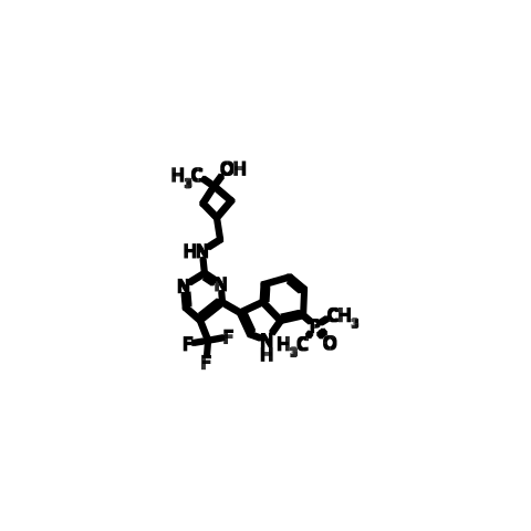 CC1(O)CC(CNc2ncc(C(F)(F)F)c(-c3c[nH]c4c(P(C)(C)=O)cccc34)n2)C1